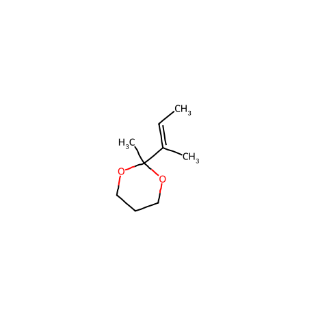 CC=C(C)C1(C)OCCCO1